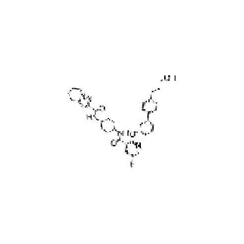 O=C(NC1CCC(NC(=O)c2cc(F)cnc2Oc2cccc(-c3ccc(CCCO)cc3)c2)CC1)c1cc2n(n1)CCCC2